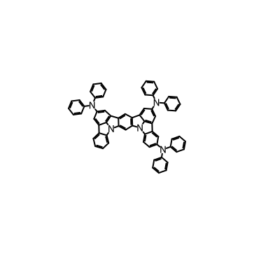 c1ccc(N(c2ccccc2)c2ccc3c(c2)c2cc(N(c4ccccc4)c4ccccc4)cc4c5cc6c7cc(N(c8ccccc8)c8ccccc8)cc8c9ccccc9n(c6cc5n3c24)c87)cc1